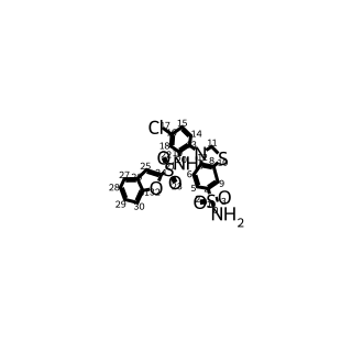 NS(=O)(=O)c1ccc2c(c1)SCN2c1ccc(Cl)cc1NS(=O)(=O)c1cc2ccccc2o1